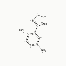 Cl.Nc1cccc(C2=NCCN2)c1